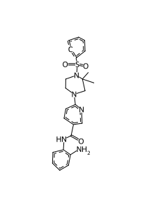 CC1(C)CN(c2ccc(C(=O)Nc3ccccc3N)cn2)CCN1S(=O)(=O)c1ccccc1